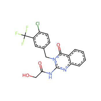 O=C(CO)Nc1nc2ccccc2c(=O)n1Cc1ccc(Cl)c(C(F)(F)F)c1